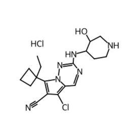 CCC1(c2c(C#N)c(Cl)c3cnc(NC4CCNCC4O)nn23)CCC1.Cl